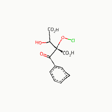 O=C(O)C(O)[C@@](OCl)(C(=O)O)C(=O)c1ccccc1